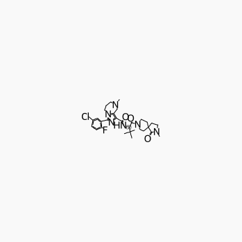 CN1CCCn2c(-c3cc(Cl)ccc3F)nc(C(=O)N[C@H](C(=O)N3CCC4(CCN(C)C4=O)CC3)C(C)(C)C)c2C1